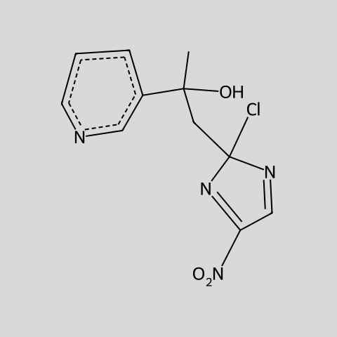 CC(O)(CC1(Cl)N=CC([N+](=O)[O-])=N1)c1cccnc1